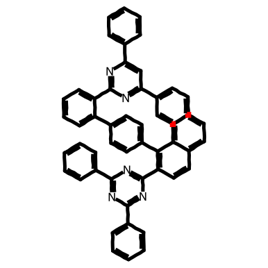 c1ccc(-c2cc(-c3ccccc3)nc(-c3ccccc3-c3ccc(-c4c(-c5nc(-c6ccccc6)nc(-c6ccccc6)n5)ccc5ccccc45)cc3)n2)cc1